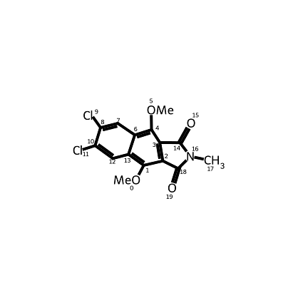 COc1c2c(c(OC)c3cc(Cl)c(Cl)cc13)C(=O)N(C)C2=O